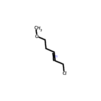 COCC/C=C/CCl